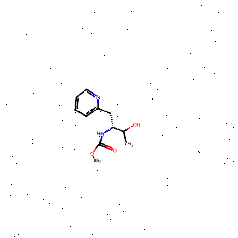 CC(O)[C@@H](Cc1ccccn1)NC(=O)OC(C)(C)C